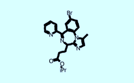 Cc1cnc2n1-c1ccc(Br)cc1C(c1ccccn1)=NC2CCC(=O)OC(C)C